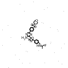 CC(CF)NCc1ccc(-c2nnc(-c3nc(-c4ccc(S(=O)(=O)C5CCOCC5)cc4)cnc3N)o2)cc1